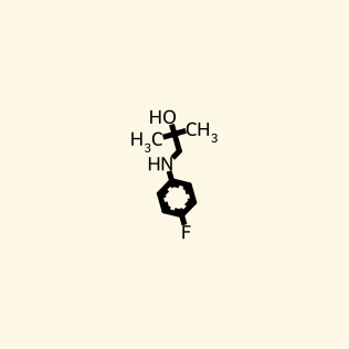 CC(C)(O)CNc1ccc(F)cc1